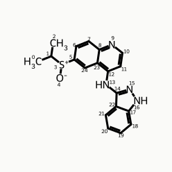 CC(C)[S+]([O-])c1ccc2nccc(Nc3n[nH]c4ccccc34)c2c1